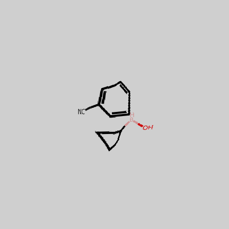 N#Cc1ccccc1.OBC1CC1